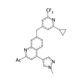 CC(=O)c1cc(-c2cnn(C)c2)c2ccc(Cc3cc(C4CC4)nc(C(F)(F)F)c3)cc2n1